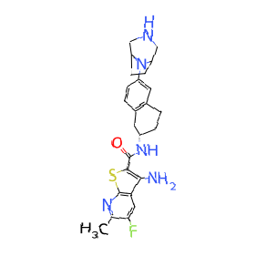 Cc1nc2sc(C(=O)N[C@H]3CCc4cc(N5C6CCC5CNC6)ccc4C3)c(N)c2cc1F